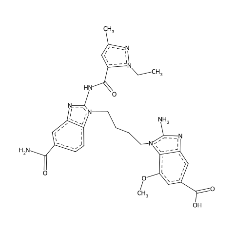 CCn1nc(C)cc1C(=O)Nc1nc2cc(C(N)=O)ccc2n1CCCCn1c(N)nc2cc(C(=O)O)cc(OC)c21